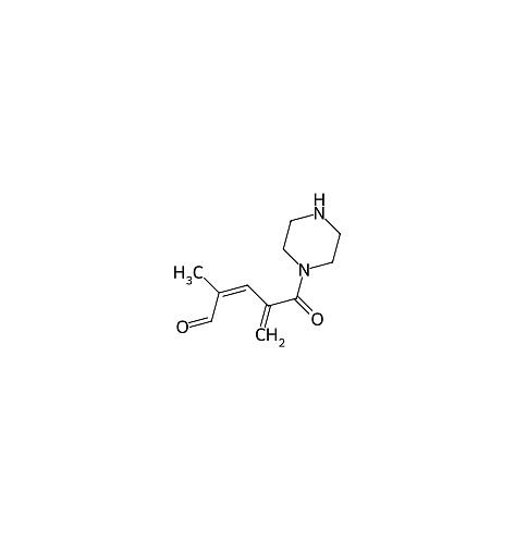 C=C(/C=C(/C)C=O)C(=O)N1CCNCC1